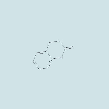 O=C1NCc2ccccc2N1